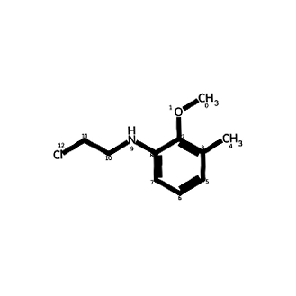 COc1c(C)cccc1NCCCl